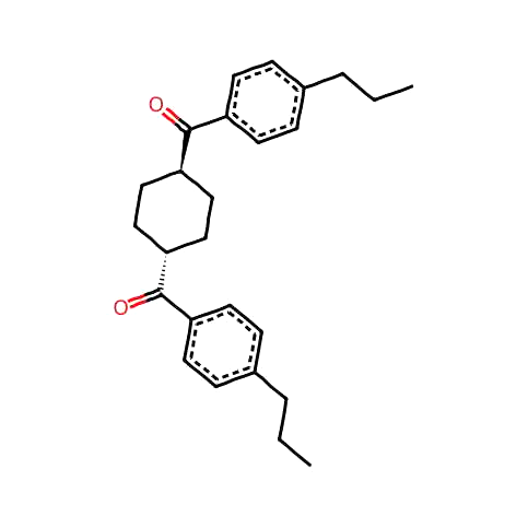 CCCc1ccc(C(=O)[C@H]2CC[C@H](C(=O)c3ccc(CCC)cc3)CC2)cc1